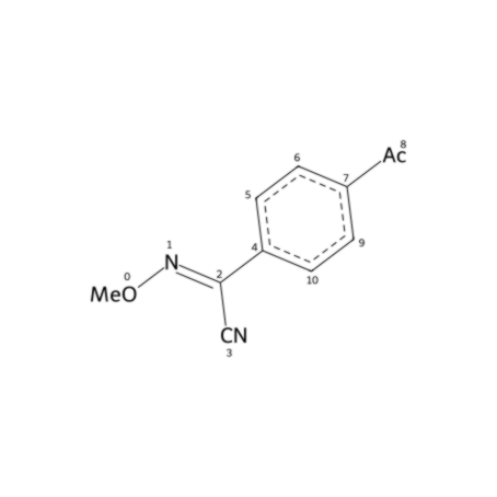 CO/N=C(\C#N)c1ccc(C(C)=O)cc1